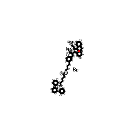 COc1nc2ccc(CCCCOC(=O)CCCCC[P+](c3ccccc3)(c3ccccc3)c3ccccc3)cc2cc1[C@@H](c1ccccc1)C(O)(CCN(C)C)c1cccc2ccccc12.[Br-]